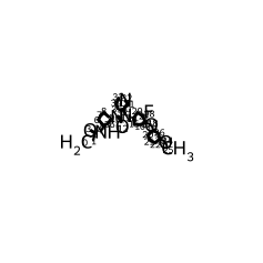 C=CC(=O)Nc1cccc(-n2c(=O)n(-c3ccc(Oc4cccc(OC)c4)c(F)c3)c3cnccc32)c1